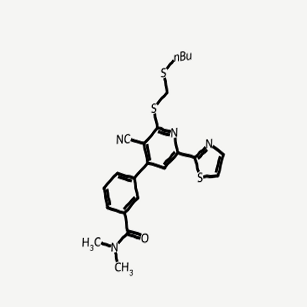 CCCCSCSc1nc(-c2nccs2)cc(-c2cccc(C(=O)N(C)C)c2)c1C#N